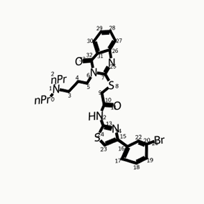 CCCN(CCC)CCCn1c(SCC(=O)Nc2nc(-c3cccc(Br)c3)cs2)nc2ccccc2c1=O